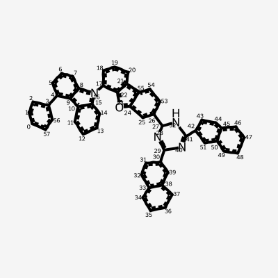 c1ccc(-c2cccc3c2c2ccccc2n3-c2cccc3c2oc2cc(C4N=C(c5ccc6ccccc6c5)N=C(c5ccc6ccccc6c5)N4)ccc23)cc1